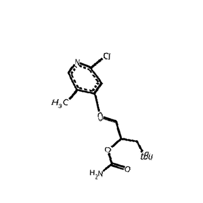 Cc1cnc(Cl)cc1OCC(CC(C)(C)C)OC(N)=O